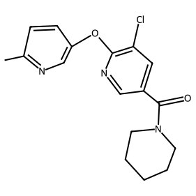 Cc1ccc(Oc2ncc(C(=O)N3CCCCC3)cc2Cl)cn1